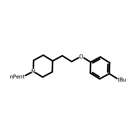 CCCCCN1CCC(CCOc2ccc(C(C)(C)C)cc2)CC1